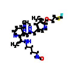 C=C(NCCCCN=O)C1=NC=CC(NC)/C1=C\NCc1cnc(OCCSF)c(C)c1